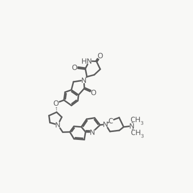 CN(C)C1CCN(c2ccc3cc(CN4CC[C@H](Oc5ccc6c(c5)CN(C5CCC(=O)NC5=O)C6=O)C4)ccc3n2)CC1